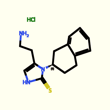 Cl.NCCc1c[nH]c(=S)n1[C@H]1CCc2ccccc2C1